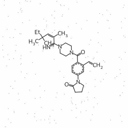 C=Cc1cc(N2CCCC2=O)ccc1C(=O)N1CCN(C(=N)/C(C)=C\C(C)(C)CC)CC1